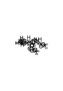 COc1c(C[C@H](NC(=O)Cn2nnc(CNC(=O)OC(C)(C)C)c2C)B2O[C@@H]3C[C@@H]4C[C@@H](C4(C)C)[C@]3(C)O2)cccc1C(=O)OC(C)(C)C